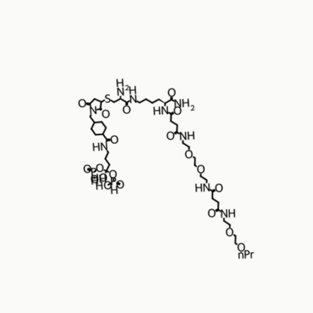 CCCOCCOCCNC(=O)CCC(=O)NCCOCCOCCNC(=O)CCC(=O)N[C@@H](CCCCNC(=O)[C@H](N)CSC1CC(=O)N(CC2CCC(C(=O)NCCCC(O)(O[PH](=O)O)O[PH](=O)O)CC2)C1=O)C(N)=O